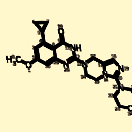 COc1cc(C2CC2)c2c(=O)[nH]c(N3CCn4c(cnc4N4CCOCC4)C3)nc2c1